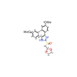 COc1ccc(-c2nc([S+]([O-])CC3OCCO3)[nH]c2-c2ccc(OC)cc2)cc1